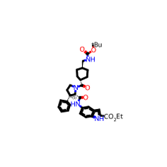 CCOC(=O)c1cc2cc(NC(=O)[C@@H]3[C@H](c4ccccc4)CCN3C(=O)[C@H]3CC[C@H](CNC(=O)OC(C)(C)C)CC3)ccc2[nH]1